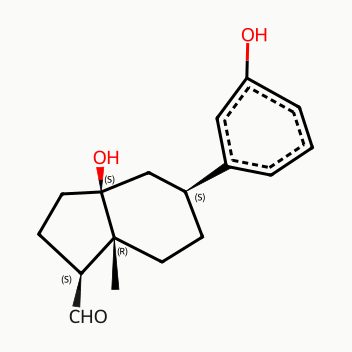 C[C@]12CC[C@H](c3cccc(O)c3)C[C@@]1(O)CC[C@@H]2C=O